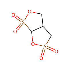 O=S1(=O)CC2COS(=O)(=O)C2O1